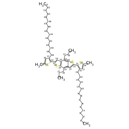 CCCCCCCCCCCCCCCCc1cc(C)sc1-c1cc2c(CCC)c3sc(-c4sc(C)cc4CCCCCCCCCCCCCCCC)cc3c(CCC)c2s1